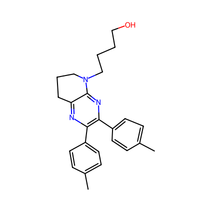 Cc1ccc(-c2nc3c(nc2-c2ccc(C)cc2)N(CCCCO)CCC3)cc1